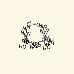 O=[PH](S)NC1C2COP(=O)(S)NC3C(CO)O[C@H]([C@@H]3O)n3cnc4c(ncnc43)NC/C=C/CNc3ncnc4c3ncn4[C@H](O2)[C@@H]1O